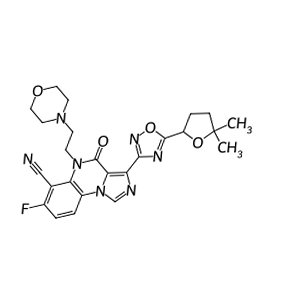 CC1(C)CCC(c2nc(-c3ncn4c3c(=O)n(CCN3CCOCC3)c3c(C#N)c(F)ccc34)no2)O1